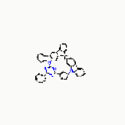 CC1(C)c2ccccc2-c2cc3c4ccccc4n(-c4nc(-c5ccccc5)nc(-c5cccc(-n6c7ccccc7c7ccccc76)c5)n4)c3cc21